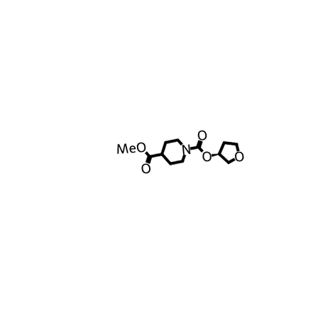 COC(=O)C1CCN(C(=O)O[C@H]2CCOC2)CC1